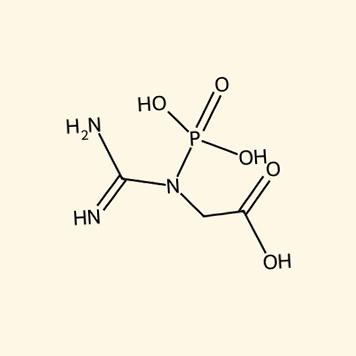 N=C(N)N(CC(=O)O)P(=O)(O)O